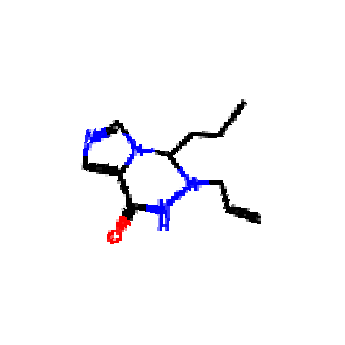 C=CCN1NC(=O)c2cncn2C1CCC